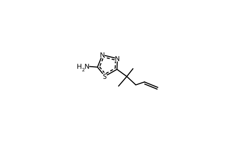 C=CCC(C)(C)c1nnc(N)s1